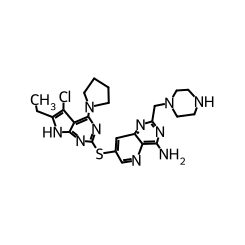 CCc1[nH]c2nc(Sc3cnc4c(N)nc(CN5CCNCC5)nc4c3)nc(N3CCCC3)c2c1Cl